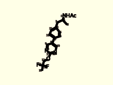 CC(=O)NC(C)Cc1ccc(-c2cnc(OCC(C)(F)F)nc2)cc1